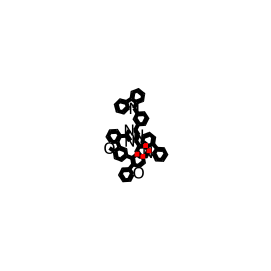 c1ccc(-c2nc(-c3cccc(-n4c5ccccc5c5ccccc54)c3)nc(-c3cccc4oc5ccc(-c6cc(-n7c8ccccc8c8ccccc87)cc7oc8ccccc8c67)cc5c34)n2)cc1